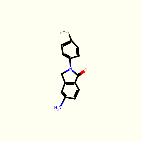 CCCCCCCCc1ccc(N2Cc3cc(N)ccc3C2=O)cc1